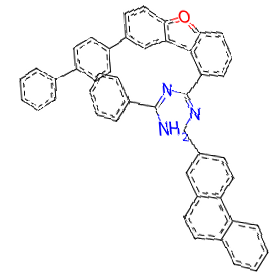 N/C(=N\C(=N/Cc1ccc2c(ccc3ccccc32)c1)c1cccc2oc3ccc(-c4ccc(-c5ccccc5)cc4)cc3c12)c1ccccc1